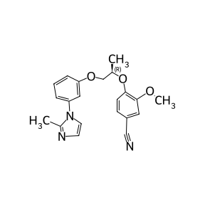 COc1cc(C#N)ccc1O[C@H](C)COc1cccc(-n2ccnc2C)c1